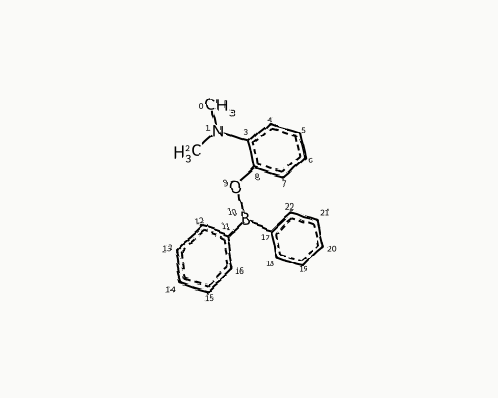 CN(C)c1ccccc1OB(c1ccccc1)c1ccccc1